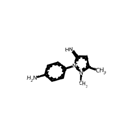 Cc1cc(=N)n(-c2ccc(N)cc2)n1C